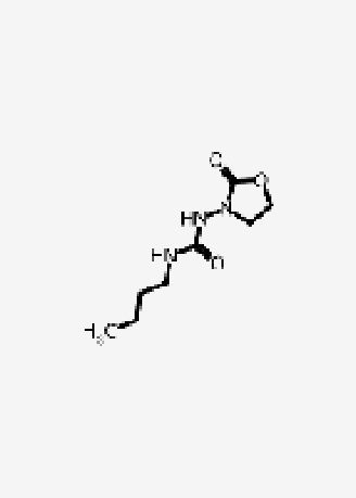 CCCCNC(=O)NN1CCOC1=O